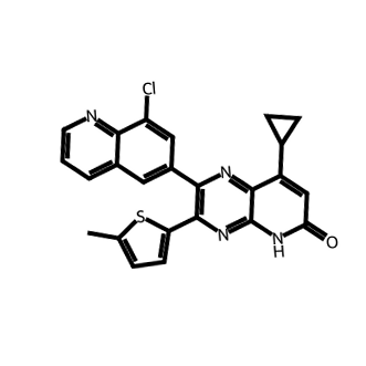 Cc1ccc(-c2nc3[nH]c(=O)cc(C4CC4)c3nc2-c2cc(Cl)c3ncccc3c2)s1